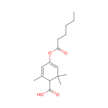 CCCCCC(=O)OC1=CC(C)(C)C(C(=O)O)C(C)=C1